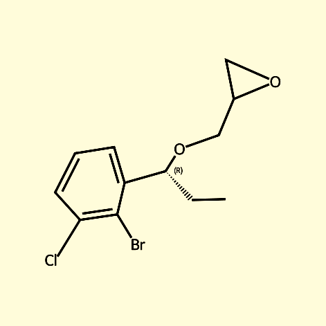 CC[C@@H](OCC1CO1)c1cccc(Cl)c1Br